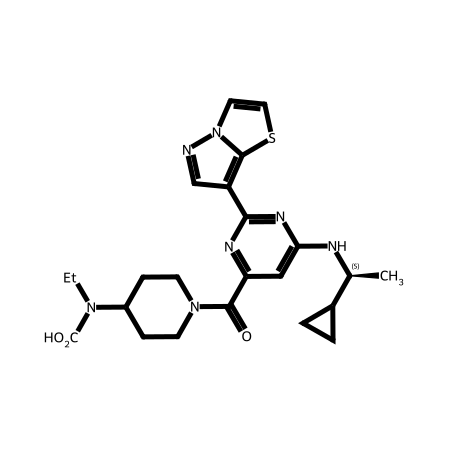 CCN(C(=O)O)C1CCN(C(=O)c2cc(N[C@@H](C)C3CC3)nc(-c3cnn4ccsc34)n2)CC1